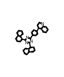 c1ccc2c(-c3nc(-c4ccc(-c5ccnc6ccccc56)cc4)nc(-c4cccc5ccccc45)n3)cccc2c1